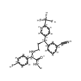 CNC(=O)[C@H](NCC[C@@H](c1ccc(C(F)(F)F)nc1)c1cccc(C#N)c1)c1ccc(F)cc1